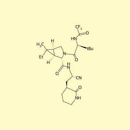 CCC1(C)[C@@H]2[C@@H](C(=O)N[C@H](C#N)C[C@@H]3CCCNC3=O)N(C(=O)[C@@H](NC(=O)C(F)(F)F)C(C)(C)C)C[C@@H]21